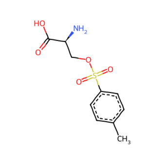 Cc1ccc(S(=O)(=O)OC[C@H](N)C(=O)O)cc1